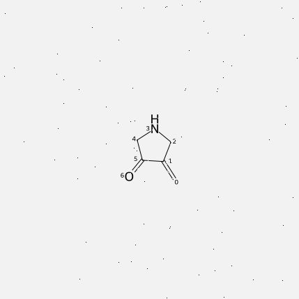 C=C1CNCC1=O